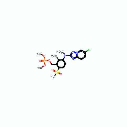 COc1c(N(C(=O)O)c2nc3ccc(Cl)cn3n2)ccc(S(C)(=O)=O)c1COP(=O)(OC(C)(C)C)OC(C)(C)C